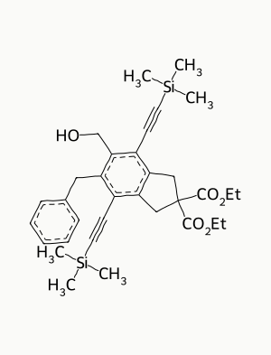 CCOC(=O)C1(C(=O)OCC)Cc2c(C#C[Si](C)(C)C)c(CO)c(Cc3ccccc3)c(C#C[Si](C)(C)C)c2C1